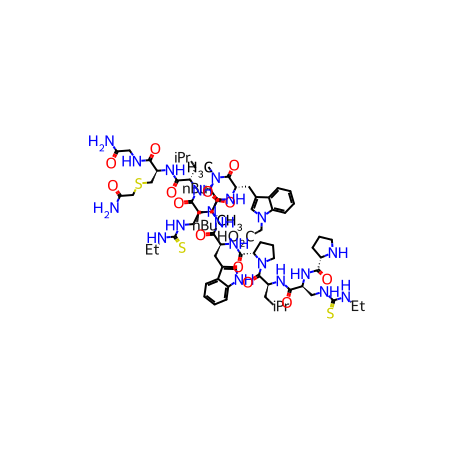 CCCC[C@@H](C(=O)N(C)[C@@H](CCCC)C(=O)N[C@@H](CC(C)C)C(=O)N[C@@H](CSCC(N)=O)C(=O)NCC(N)=O)N(C)C(=O)[C@H](Cc1cn(CC(=O)O)c2ccccc12)NC(=O)[C@H](CCNC(=S)NCC)NC(=O)[C@H](Cc1c[nH]c2ccccc12)NC(=O)[C@@H]1CCCN1C(=O)[C@H](CC(C)C)NC(=O)[C@H](CNC(=S)NCC)NC(=O)[C@@H]1CCCN1